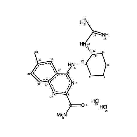 CNC(=O)c1nc(N[C@H]2CCCC[C@H]2NC(=N)N)c2cc(C)ccc2n1.Cl.Cl